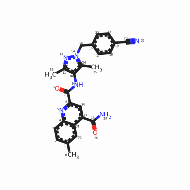 Cc1ccc2nc(C(=O)Nc3c(C)nn(Cc4ccc(C#N)cc4)c3C)cc(C(N)=O)c2c1